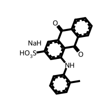 Cc1ccccc1Nc1cc(S(=O)(=O)O)cc2c1C(=O)c1ccccc1C2=O.[NaH]